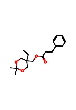 CCC1(COC(=O)C=Cc2ccccc2)COC(C)(C)OC1